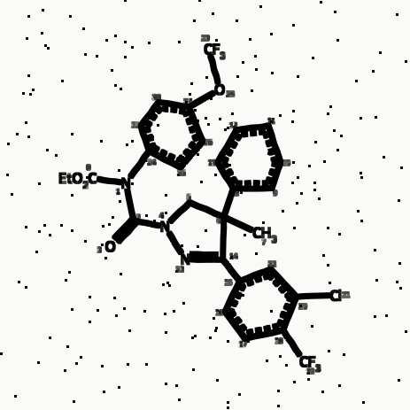 CCOC(=O)N(C(=O)N1CC(C)(c2ccccc2)C(c2ccc(C(F)(F)F)c(Cl)c2)=N1)c1ccc(OC(F)(F)F)cc1